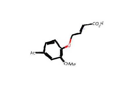 COc1cc(C(C)=O)ccc1OC/C=C/C(=O)O